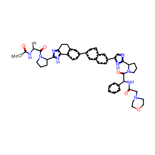 COC(=O)NC(C(=O)N1CCCC1c1nc2c([nH]1)-c1ccc(-c3ccc4cc(-c5cnc(C6CCCN6C(=O)C(NC(=O)CN6CCOCC6)c6ccccc6)[nH]5)ccc4c3)cc1CC2)C(C)C